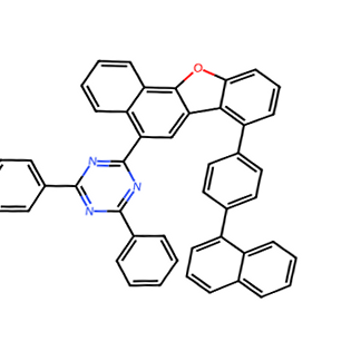 c1ccc(-c2nc(-c3ccccc3)nc(-c3cc4c(oc5cccc(-c6ccc(-c7cccc8ccccc78)cc6)c54)c4ccccc34)n2)cc1